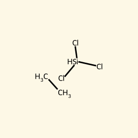 CC.Cl[SiH](Cl)Cl